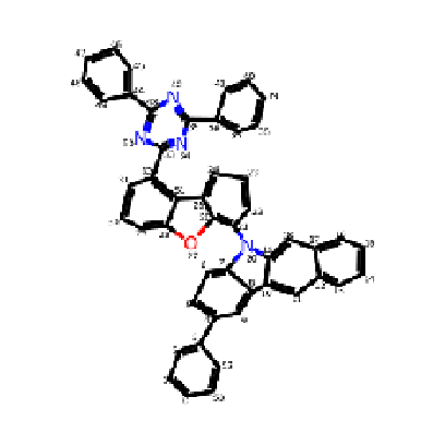 c1ccc(-c2ccc3c(c2)c2cc4ccccc4cc2n3-c2cccc3c2oc2cccc(-c4nc(-c5ccccc5)nc(-c5ccccc5)n4)c23)cc1